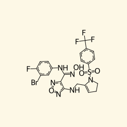 O=S(=O)(c1ccc(C(F)(F)F)cc1)N1CCC=C1CNc1nonc1/C(=N/O)Nc1ccc(F)c(Br)c1